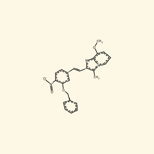 COc1cccn2c(C)c(C=Cc3ccc([N+](=O)[O-])c(OCc4ccccc4)c3)nc12